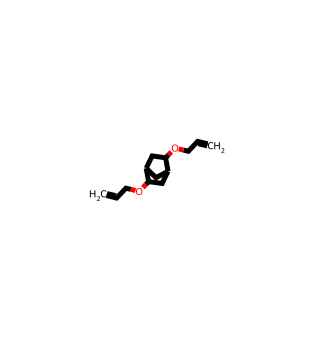 C=CCOC1CC2CC1CC2OCC=C